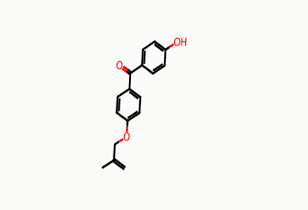 C=C(C)COc1ccc(C(=O)c2ccc(O)cc2)cc1